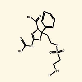 CCNCCS(=O)(=O)NCCC1(c2ccccc2)SC(NC(=O)C(C)(C)C)=NN1C(=O)C(C)(C)C